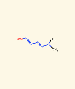 CN(C)N=NN=NO